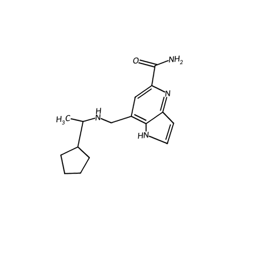 CC(NCc1cc(C(N)=O)nc2cc[nH]c12)C1CCCC1